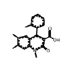 Cc1cc2c(-c3ccccc3C)c(C(=O)O)c(=O)n(C)c2cc1C